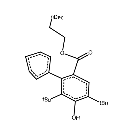 CCCCCCCCCCCCOC(=O)c1cc(C(C)(C)C)c(O)c(C(C)(C)C)c1-c1ccccc1